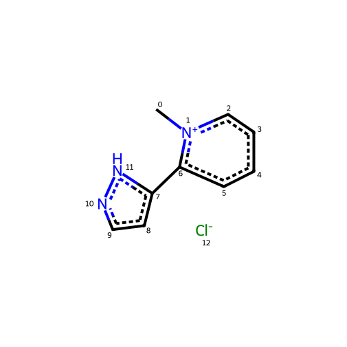 C[n+]1ccccc1-c1ccn[nH]1.[Cl-]